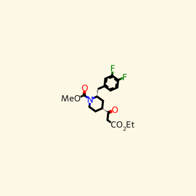 CCOC(=O)CC(=O)[C@@H]1CCN(C(=O)OC)[C@H](Cc2ccc(F)c(F)c2)C1